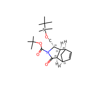 CC(C)(C)OC(=O)N1C(=O)[C@H]2[C@@H]([C@H]1CO[Si](C)(C)C(C)(C)C)[C@H]1C=C[C@@H]2C1